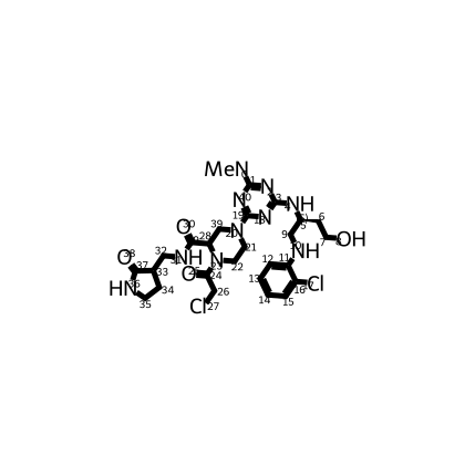 CNc1nc(N[C@@H](CCO)CNc2ccccc2Cl)nc(N2CCN(C(=O)CCl)C(C(=O)NCC3CCNC3=O)C2)n1